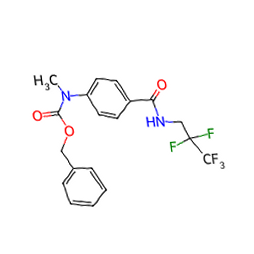 CN(C(=O)OCc1ccccc1)c1ccc(C(=O)NCC(F)(F)C(F)(F)F)cc1